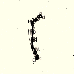 Cc1cc(S(=O)(=O)N[C@@H]2CCN(CCOCCNC(=O)NCCCCNC(=O)NCCOCCN3CC[C@@H](NS(=O)(=O)c4ccc(O[C@@H]5CCc6c(Cl)cc(Cl)cc65)c(C)c4)C3)C2)ccc1O[C@@H]1CCc2c(Cl)cc(Cl)cc21